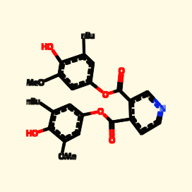 CCCCc1cc(OC(=O)c2ccncc2C(=O)Oc2cc(CCCC)c(O)c(OC)c2)cc(OC)c1O